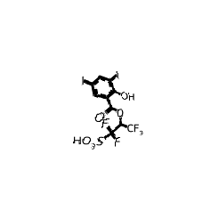 O=C(OC(C(F)(F)F)C(F)(F)S(=O)(=O)O)c1cc(I)cc(I)c1O